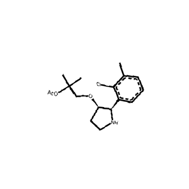 CC(=O)OC(C)(C)CO[C@@H]1CCN[C@@H]1c1cccc(C)c1Cl